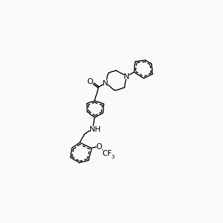 O=C(c1ccc(NCc2ccccc2OC(F)(F)F)cc1)N1CCN(c2ccccc2)CC1